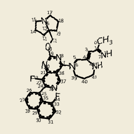 CC(=N)/C=C1/CN(c2nc(OCC34CCCN3CCC4)nc3c(F)c(-c4cccc5cccc(F)c45)ncc23)CCCN1